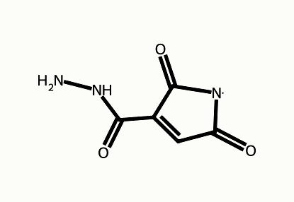 NNC(=O)C1=CC(=O)[N]C1=O